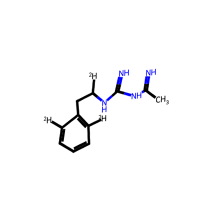 [2H]c1cccc([2H])c1CC([2H])NC(=N)NC(C)=N